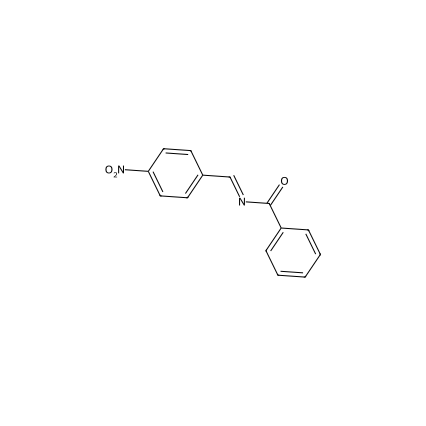 O=C(N=Cc1ccc([N+](=O)[O-])cc1)c1ccccc1